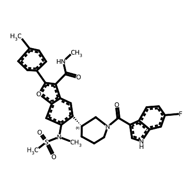 CNC(=O)c1c(-c2ccc(C)cc2)oc2cc(N(C)S(C)(=O)=O)c([C@H]3CCCN(C(=O)c4c[nH]c5cc(F)ccc45)C3)cc12